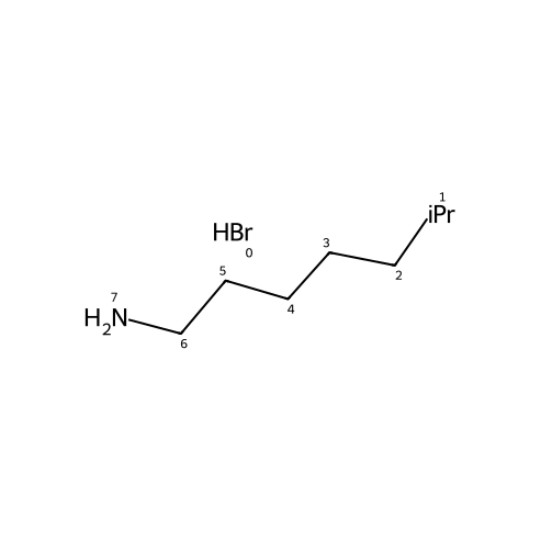 Br.CC(C)CCCCCN